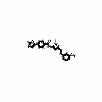 COc1cccc(CCc2cc(NC(=O)c3ccc(-c4cnco4)cc3)[nH]n2)c1